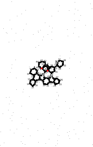 c1ccc(-n2c3c4ccccc4c4ccccc4c3c3ccc4c5ccccc5n(-c5cc(-c6ccccn6)cc(-c6ccccn6)c5)c4c32)cc1